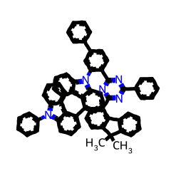 CC1(C)c2ccccc2-c2c(-c3nc(-c4ccccc4)nc(-c4ccc(-c5ccccc5)cc4-n4c5ccccc5c5c(-c6cccc7c6c6ccccc6n7-c6ccccc6)cccc54)n3)cccc21